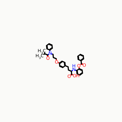 CC(C)C(=O)N(CCCOc1ccc(CCC(Nc2ccccc2OC(=O)c2ccccc2)C(=O)O)cc1)c1ccccc1